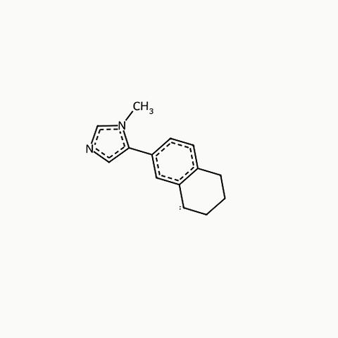 Cn1cncc1-c1ccc2c(c1)[C]CCC2